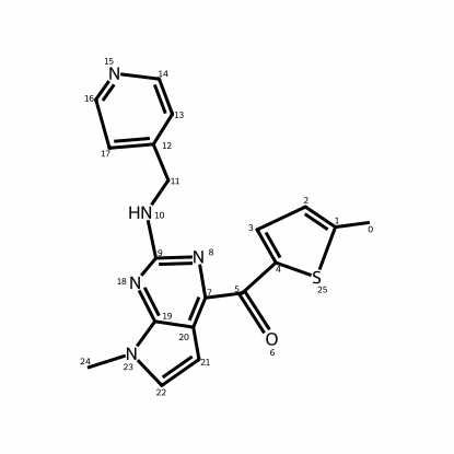 Cc1ccc(C(=O)c2nc(NCc3ccncc3)nc3c2ccn3C)s1